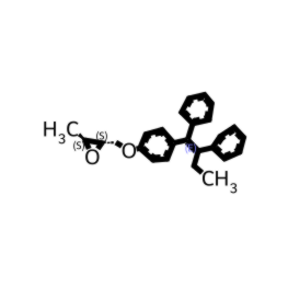 CC/C(=C(/c1ccccc1)c1ccc(OC[C@@H]2O[C@H]2C)cc1)c1ccccc1